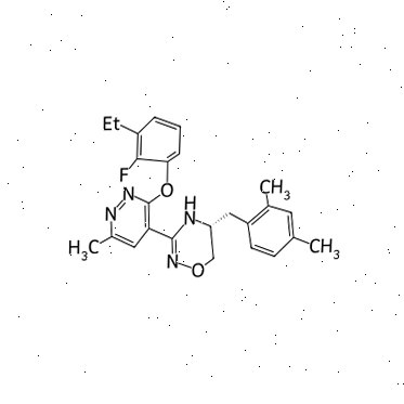 CCc1cccc(Oc2nnc(C)cc2C2=NOC[C@@H](Cc3ccc(C)cc3C)N2)c1F